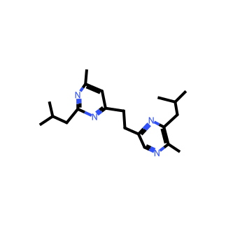 Cc1cc(CCc2cnc(C)c(CC(C)C)n2)nc(CC(C)C)n1